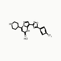 Cl.O=c1cc(C2CCNCC2)n2ncc(-c3noc(-c4ccc(C(F)(F)F)cc4)n3)c2[nH]1